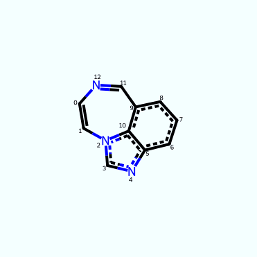 C1=Cn2cnc3cccc(c32)C=N1